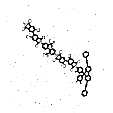 Cc1ccc(C2(c3ccc(N4C(=O)c5cc(Cl)c(-c6cc7c(cc6Cl)C(=O)N(c6ccc(-c8ccc(N9C(=O)c%10cc(Cl)c(-c%11cc%12c(cc%11Cl)C(=O)N(C)C%12=O)cc%10C9=O)cc8C(F)(F)F)c(C(F)(F)F)c6)C7=O)cc5C4=O)c(C)c3)c3cc(C#Cc4ccccc4)ccc3-c3ccc(C#Cc4ccccc4)cc32)cc1C